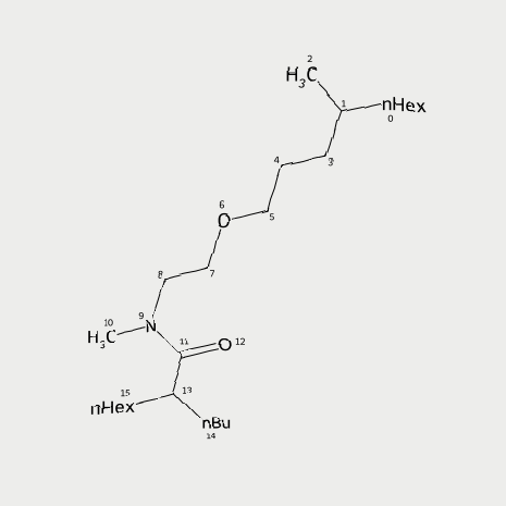 CCCCCCC(C)CCCOCCN(C)C(=O)C(CCCC)CCCCCC